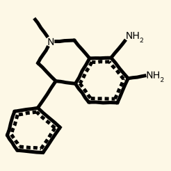 CN1Cc2c(ccc(N)c2N)C(c2ccccc2)C1